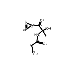 CC(O)(NC(=O)CP)C(=O)N1P=P1